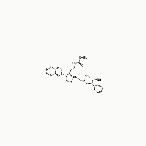 CC(C)(C)OC(=O)NCCc1c(-c2ccc3cnccc3c2)noc1NC[C@H](N)Cc1c[nH]c2ccccc12